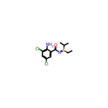 CCS(=NC(=O)c1cc(Cl)cc(Cl)c1N)C(C)C